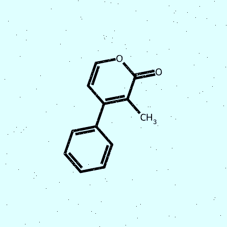 Cc1c(-c2ccccc2)ccoc1=O